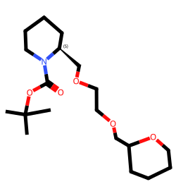 CC(C)(C)OC(=O)N1CCCC[C@H]1COCCOCC1CCCCO1